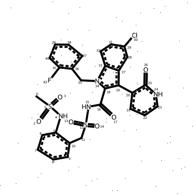 CS(=O)(=O)Nc1ccccc1CS(=O)(=O)NC(=O)c1c(-c2ccc[nH]c2=O)c2cc(Cl)ccc2n1Cc1ccccc1F